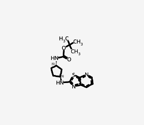 CC(C)(C)OC(=O)N[C@H]1CC[C@H](Nc2nc3cccnc3s2)C1